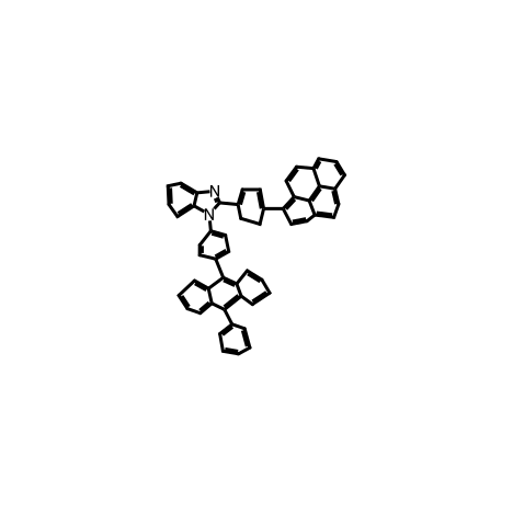 C1=C(c2ccc3ccc4cccc5ccc2c3c45)CCC(c2nc3ccccc3n2-c2ccc(-c3c4ccccc4c(-c4ccccc4)c4ccccc34)cc2)=C1